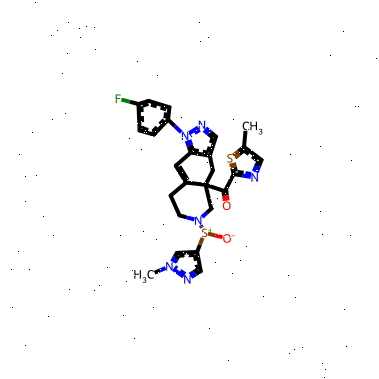 Cc1cnc(C(=O)C23Cc4cnn(-c5ccc(F)cc5)c4C=C2CCN([S+]([O-])c2cnn(C)c2)C3)s1